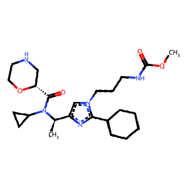 COC(=O)NCCCn1cc([C@@H](C)N(C(=O)[C@H]2CNCCO2)C2CC2)nc1C1CCCCC1